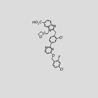 O=C(O)c1ccc2nc(Cc3ccc(-c4nccc(OCc5ccc(Cl)cc5F)n4)cc3Cl)n(C[C@@H]3CCO3)c2c1